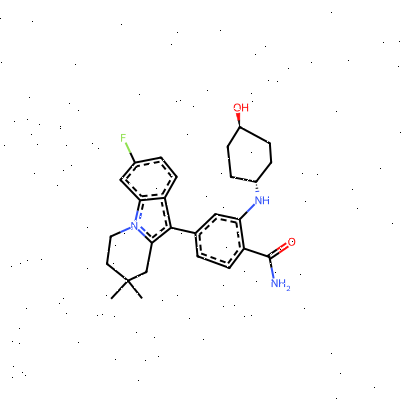 CC1(C)CCn2c(c(-c3ccc(C(N)=O)c(N[C@H]4CC[C@H](O)CC4)c3)c3ccc(F)cc32)C1